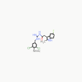 CC(=O)Nc1c(Cl)cc(CNC(=N)NC(=O)Cc2c(C)[nH]c3ccc(F)cc23)cc1Cl